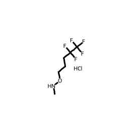 CNOCCCC(F)(F)C(F)(F)F.Cl